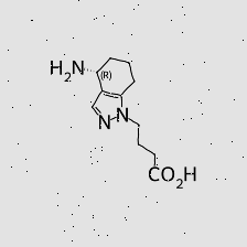 N[C@@H]1CCCc2c1cnn2CCCC(=O)O